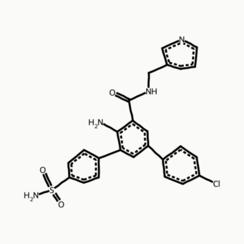 Nc1c(C(=O)NCc2cccnc2)cc(-c2ccc(Cl)cc2)cc1-c1ccc(S(N)(=O)=O)cc1